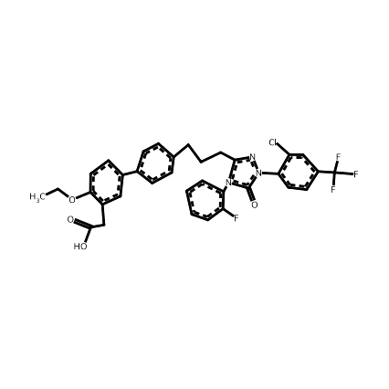 CCOc1ccc(-c2ccc(CCCc3nn(-c4ccc(C(F)(F)F)cc4Cl)c(=O)n3-c3ccccc3F)cc2)cc1CC(=O)O